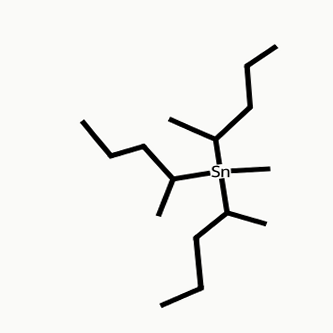 CCC[CH](C)[Sn]([CH3])([CH](C)CCC)[CH](C)CCC